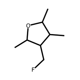 CC1OC(C)C(CF)C1C